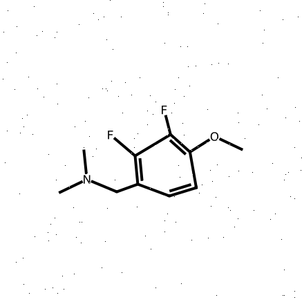 COc1ccc(CN(C)C)c(F)c1F